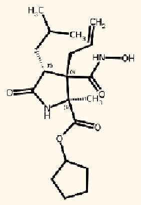 C=CC[C@]1(C(=O)NO)[C@@H](CC(C)C)C(=O)N[C@]1(C)C(=O)OC1CCCC1